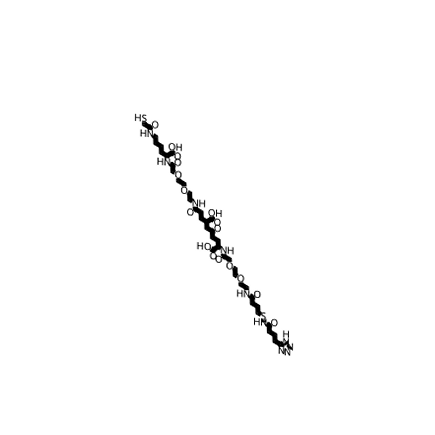 O=C(CCC(NC(=O)COCCOCCNC(=O)CCCSNC(=O)CCCc1nnn[nH]1)C(=O)O)CC(CCC(=O)NCCOCCOCC(=O)NC(CCCCNC(=O)CS)C(=O)O)C(=O)O